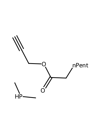 C#CCOC(=O)CCCCCC.CPC